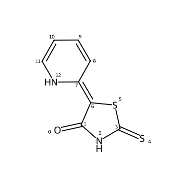 O=C1NC(=S)SC1=C1C=CC=CN1